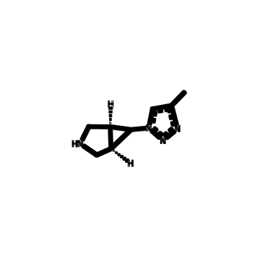 Cc1cn(C2[C@H]3CNC[C@@H]23)nn1